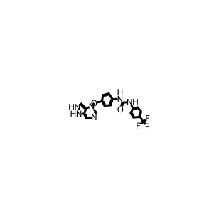 O=C(Nc1ccc(ON2C=NC=C3NNC=C32)cc1)Nc1ccc(C(F)(F)F)cc1